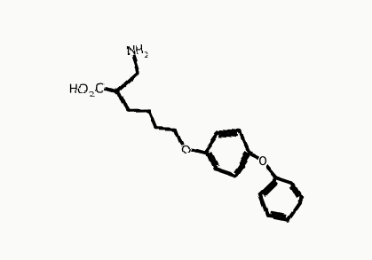 NCC(CCCCOc1ccc(Oc2ccccc2)cc1)C(=O)O